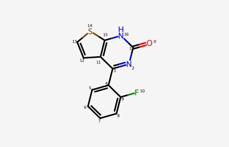 O=c1nc(-c2ccccc2F)c2ccsc2[nH]1